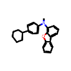 CN(c1ccc(C2CCCCC2)cc1)c1cccc2c1oc1ccccc12